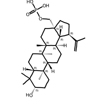 C=C(C)[C@@H]1CC[C@]2(COP(=O)(O)O)CC[C@]3(C)[C@H](CC[C@@H]4[C@@]5(C)CC[C@H](O)C(C)(C)[C@@H]5CC[C@]43C)[C@@H]12